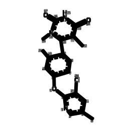 Cc1cnc(Oc2ccc(-c3c(C)c(=O)[nH]c(=O)n3C)c(C)c2)c(Cl)c1